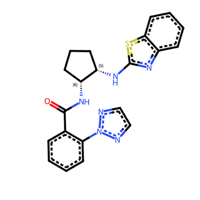 O=C(N[C@@H]1CCC[C@@H]1Nc1nc2ccccc2s1)c1ccccc1-n1nccn1